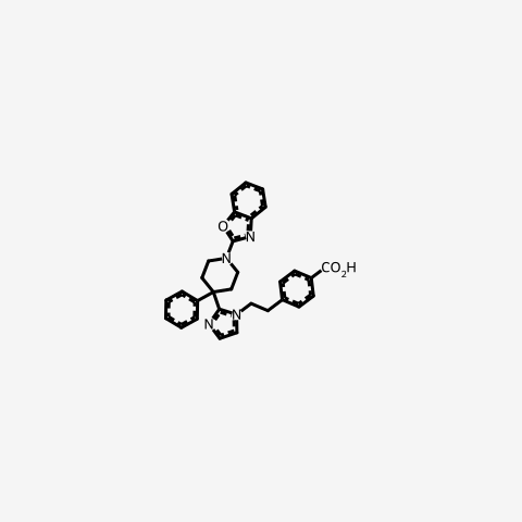 O=C(O)c1ccc(CCn2ccnc2C2(c3ccccc3)CCN(c3nc4ccccc4o3)CC2)cc1